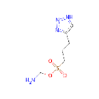 NCOS(=O)(=O)CCCc1c[nH]nn1